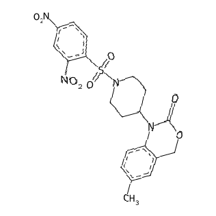 Cc1ccc2c(c1)COC(=O)N2C1CCN(S(=O)(=O)c2ccc([N+](=O)[O-])cc2[N+](=O)[O-])CC1